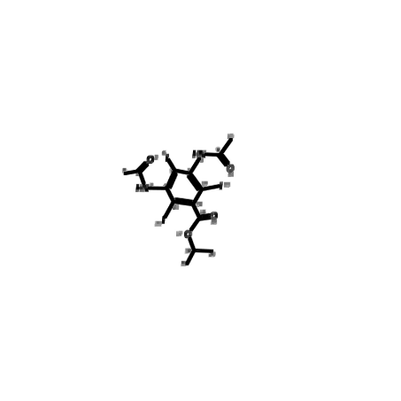 CC(=O)Nc1c(I)c(NC(C)=O)c(I)c(C(=O)OC(C)C)c1I